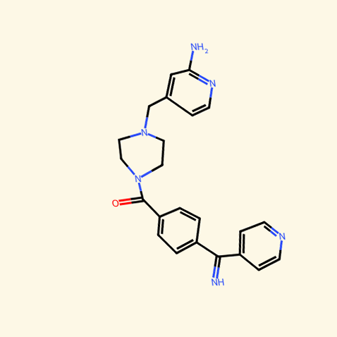 N=C(c1ccncc1)c1ccc(C(=O)N2CCN(Cc3ccnc(N)c3)CC2)cc1